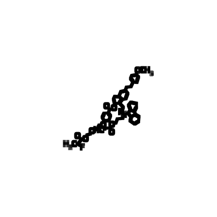 C#CC(=O)OCCCN(/N=C/c1c(OC(=O)c2ccc(OCCOCCOC(=O)C(=C)F)cc2)ccc2cc(CCc3ccc(OC)cc3)ccc12)C1c2ccccc2-c2ccccc21